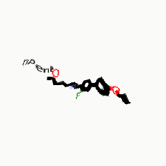 C=CCOc1ccc(-c2ccc(/C=C/CCCC(C)OCCCCC)c(F)c2)cc1